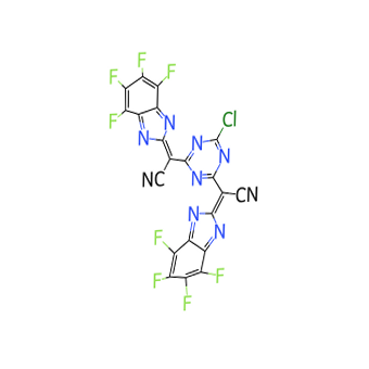 N#CC(=C1N=c2c(F)c(F)c(F)c(F)c2=N1)c1nc(Cl)nc(C(C#N)=C2N=c3c(F)c(F)c(F)c(F)c3=N2)n1